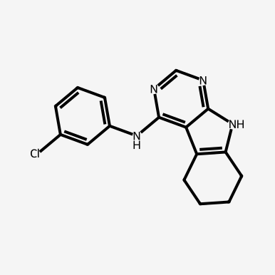 Clc1cccc(Nc2ncnc3[nH]c4c(c23)CCCC4)c1